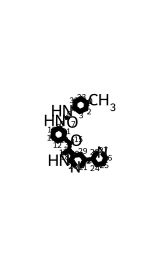 Cc1ccc(NC(=O)Nc2cccc(C(=O)c3c[nH]c4ncc(-c5cccnc5)cc34)c2)cc1